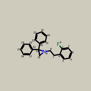 Fc1ccccc1CCN1CC1(c1ccccc1)c1ccccc1